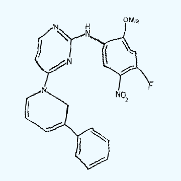 COc1cc(F)c([N+](=O)[O-])cc1Nc1nccc(N2C=CC=C(c3ccccc3)C2)n1